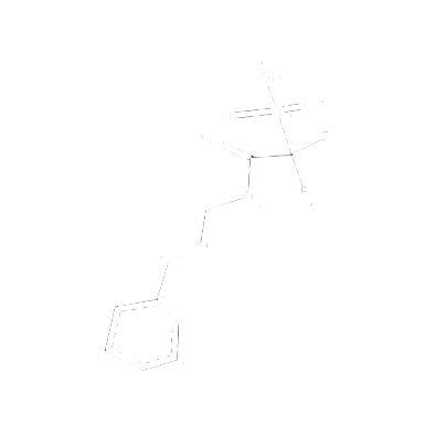 O=C(OCCCc1ccccc1)C(F)(F)S(=O)(=O)O